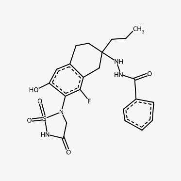 CCCC1(NNC(=O)c2ccccc2)CCc2cc(O)c(N3CC(=O)NS3(=O)=O)c(F)c2C1